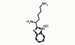 Cl.NCCCCC(N)c1nc2ccccc2[nH]1